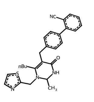 CCCCC1=C(Cc2ccc(-c3ccccc3C#N)cc2)C(=O)NC(C)N1Cc1nccs1